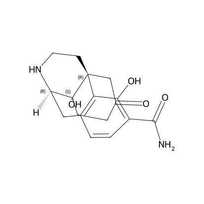 NC(=O)c1ccc2c(c1O)[C@]13CCN[C@H](C2)[C@]1(O)CCC(=O)C3